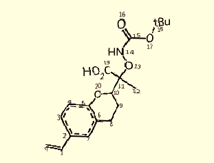 C=Cc1ccc2c(c1)CCC(C(C)(ONC(=O)OC(C)(C)C)C(=O)O)O2